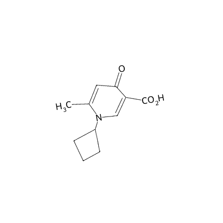 Cc1cc(=O)c(C(=O)O)cn1C1CCC1